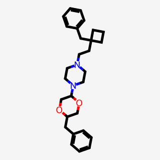 c1ccc(CC2COC(N3CCN(CCC4(Cc5ccccc5)CCC4)CC3)CO2)cc1